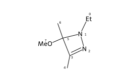 CCN1N=C(C)C1(C)OC